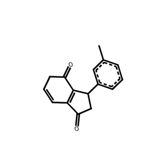 Cc1cccc(C2CC(=O)C3=C2C(=O)CC=C3)c1